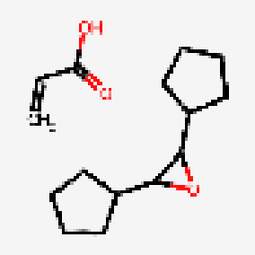 C1CCC(C2OC2C2CCCC2)C1.C=CC(=O)O